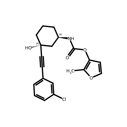 Cc1occc1OC(=O)N[C@@H]1CCC[C@](O)(C#Cc2cccc(Cl)c2)C1